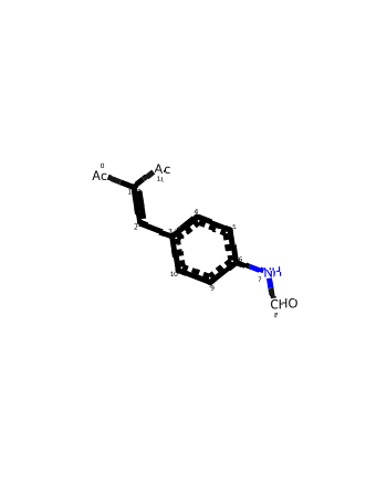 CC(=O)C(=Cc1ccc(NC=O)cc1)C(C)=O